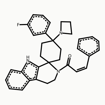 O=C(/C=C\c1ccccc1)N1CCc2c([nH]c3ccccc23)C12CCC(c1cccc(F)c1)(N1CCC1)CC2